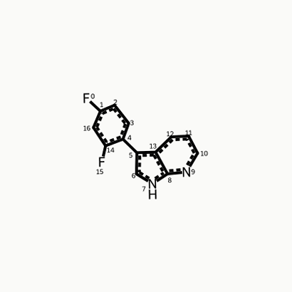 Fc1ccc(-c2c[nH]c3ncccc23)c(F)c1